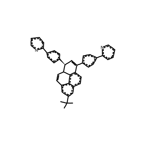 CC(C)(C)c1cc2c3c4c(ccc3c1)C(c1ccc(-c3ccccn3)cc1)=C[C@H](c1ccc(-c3ccccn3)cc1)C4C=C2